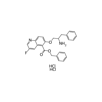 Cl.Cl.NC(COc1ccc2ncc(F)cc2c1C(=O)OCc1ccccc1)Cc1ccccc1